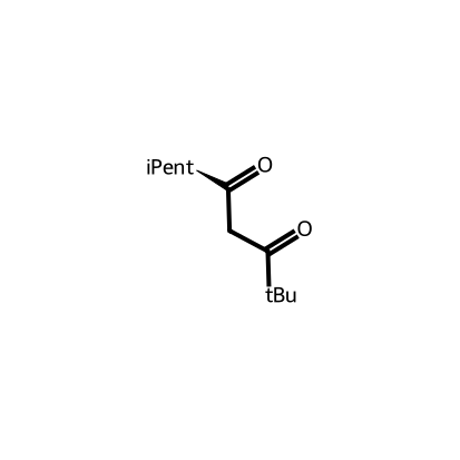 CCC[C@H](C)C(=O)CC(=O)C(C)(C)C